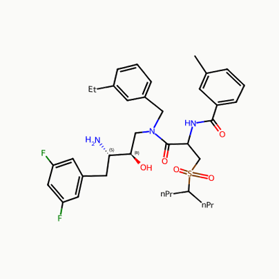 CCCC(CCC)S(=O)(=O)CC(NC(=O)c1cccc(C)c1)C(=O)N(Cc1cccc(CC)c1)C[C@@H](O)[C@@H](N)Cc1cc(F)cc(F)c1